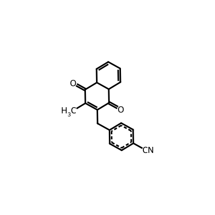 CC1=C(Cc2ccc(C#N)cc2)C(=O)C2C=CC=CC2C1=O